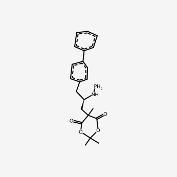 CC1(C)OC(=O)C(C)(C[C@@H](Cc2ccc(-c3ccccc3)cc2)NP)C(=O)O1